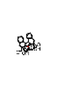 O=C(O)C1=Cc2ccccc2C(C2c3ccccc3C=C(C(=O)O)C2(O)c2ccccc2)C1(O)c1ccccc1